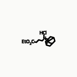 CCOC(=O)CCCN(C)C12CC3CC(CC(C3)C1)C2.Cl